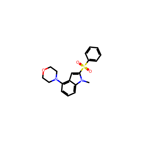 Cn1c(S(=O)(=O)c2ccccc2)cc2c(N3CCOCC3)cccc21